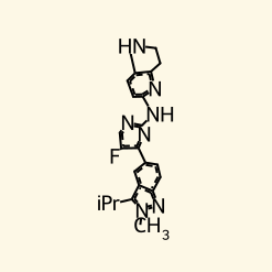 CC(C)c1c2cc(-c3nc(Nc4ccc5c(n4)CCNC5)ncc3F)ccc2nn1C